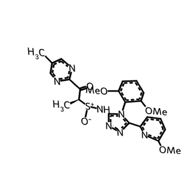 COc1cccc(-c2nnc(N[S+]([O-])[C@@H](C)C(=O)c3ncc(C)cn3)n2-c2c(OC)cccc2OC)n1